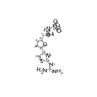 NC(N)=Nc1nc(-c2ccc(CNN[SH](=O)=O)o2)cs1